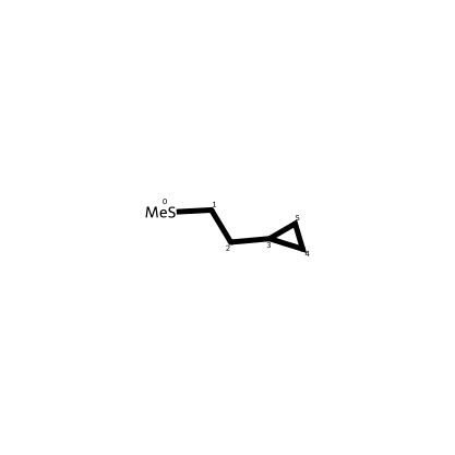 [CH2]SCCC1CC1